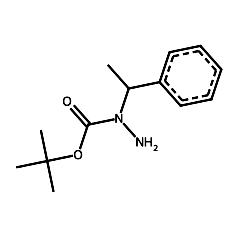 CC(c1ccccc1)N(N)C(=O)OC(C)(C)C